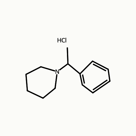 CC(c1ccccc1)N1CCCCC1.Cl